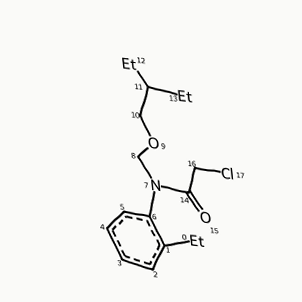 CCc1ccccc1N(COCC(CC)CC)C(=O)CCl